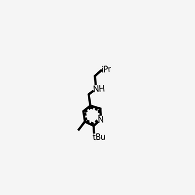 Cc1cc(CNCC(C)C)cnc1C(C)(C)C